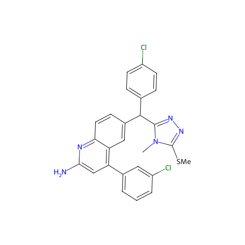 CSc1nnc(C(c2ccc(Cl)cc2)c2ccc3nc(N)cc(-c4cccc(Cl)c4)c3c2)n1C